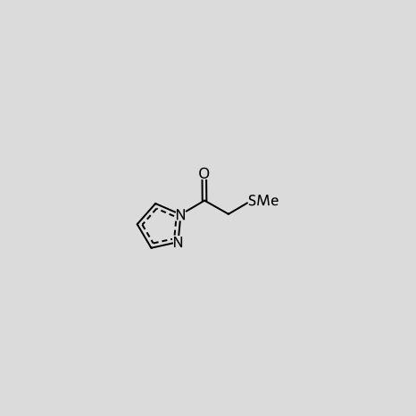 CSCC(=O)n1cccn1